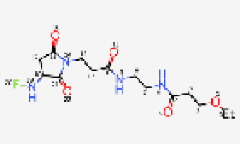 CCOCCC(=O)NCCNC(=O)CCN1C(=O)CC(NF)C1=O